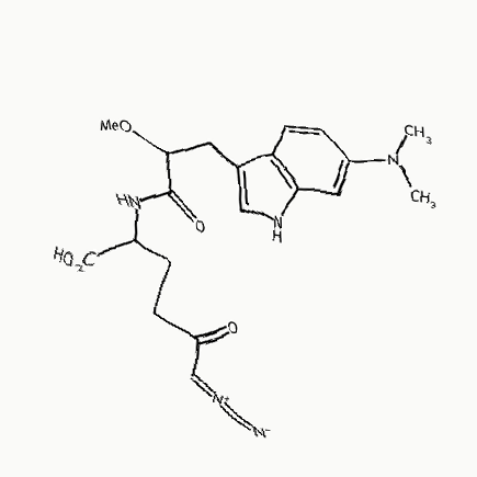 COC(Cc1c[nH]c2cc(N(C)C)ccc12)C(=O)NC(CCC(=O)C=[N+]=[N-])C(=O)O